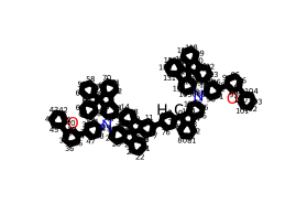 CC1(c2ccc(-c3ccc4c(c3)-c3ccccc3C43c4ccccc4-c4ccc(N(c5ccc(-c6cccc7c6oc6ccccc67)cc5)c5ccc6c(c5)C(c5ccccc5)(c5ccccc5)c5ccccc5-6)cc43)cc2)c2ccccc2-c2ccc(N(c3ccc(-c4cccc5c4oc4ccccc45)cc3)c3ccc4c(c3)C3(c5ccccc5-c5ccccc53)c3ccccc3-4)cc21